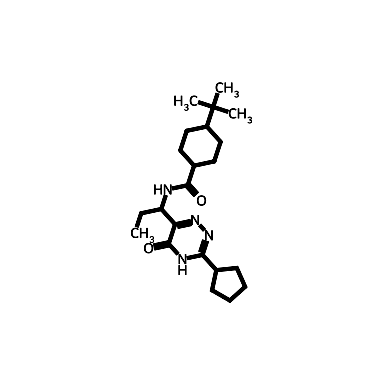 CCC(NC(=O)C1CCC(C(C)(C)C)CC1)c1nnc(C2CCCC2)[nH]c1=O